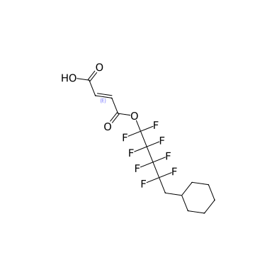 O=C(O)/C=C/C(=O)OC(F)(F)C(F)(F)C(F)(F)C(F)(F)CC1CCCCC1